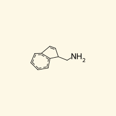 NCC1C=Cc2ccccc21